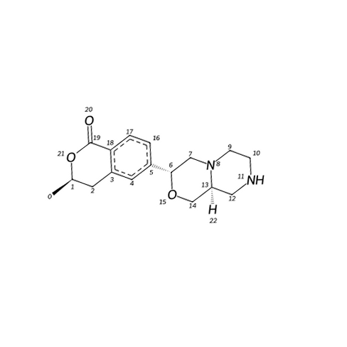 C[C@@H]1Cc2cc([C@@H]3CN4CCNC[C@H]4CO3)ccc2C(=O)O1